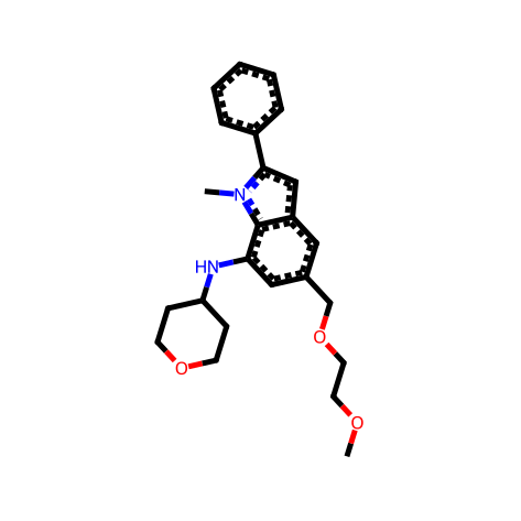 COCCOCc1cc(NC2CCOCC2)c2c(c1)cc(-c1ccccc1)n2C